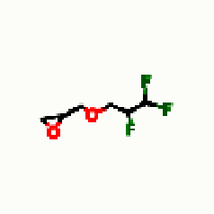 FC(F)C(F)COCC1CO1